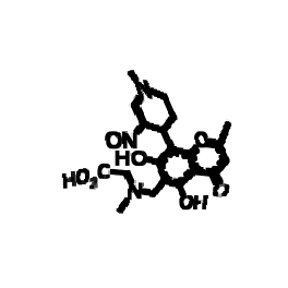 Cc1cc(=O)c2c(O)c(CN(C)CC(=O)O)c(O)c(C3CCN(C)CC3N=O)c2o1